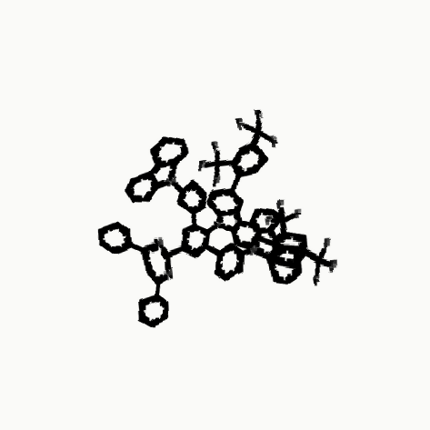 FC(F)(F)c1ccc(-c2ccc3c(c2)c2cc(-c4ccc(C(F)(F)F)cc4C(F)(F)F)ccc2n3-c2c(-c3cccc(-n4c5ccccc5c5ccccc54)c3)cc(-c3nc(-c4ccccc4)cc(-c4ccccc4)n3)cc2-c2cccc(-n3c4ccccc4c4ccccc43)c2)c(C(F)(F)F)c1